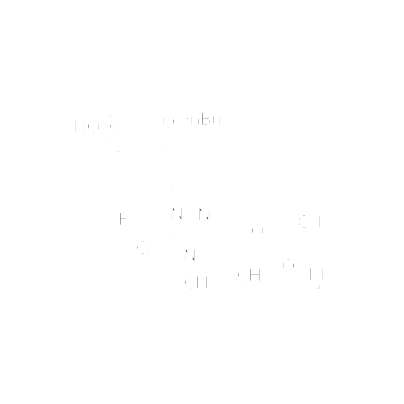 CCCCOc1cc(-n2nc(C(C)OC(C)OCC)n(C)c2=O)c(F)cc1C(=O)O